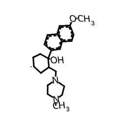 COc1ccc2cc(C3(O)CC[CH]CC3CN3CCN(C)CC3)ccc2c1